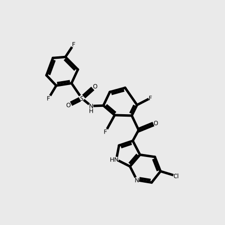 O=C(c1c(F)ccc(NS(=O)(=O)c2cc(F)ccc2F)c1F)c1c[nH]c2ncc(Cl)cc12